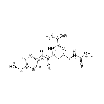 CCC[C@H](N)C(=O)NC(CCCNC(N)=O)C(=O)Nc1ccc(CO)cc1